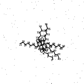 CCCCCCC[N+](CCCCCCC)(CCCCCCC)C(C(=O)[O-])(C(=O)[O-])[N+](CCCCCCC)(CCCCCCC)CCCCCCC